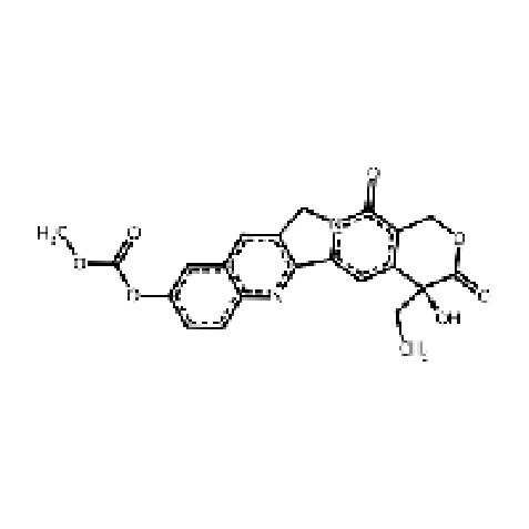 CC[C@@]1(O)C(=O)OCc2c1cc1n(c2=O)Cc2cc3cc(OC(=O)OC)ccc3nc2-1